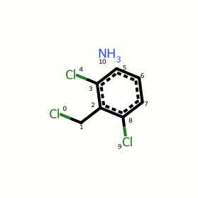 ClCc1c(Cl)cccc1Cl.N